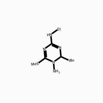 CCNC1=NC(C(C)(C)C)N(N)C(SC)=N1